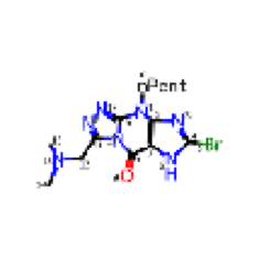 CCCCCn1c2nc(Br)[nH]c2c(=O)n2c(CN(C)C)nnc12